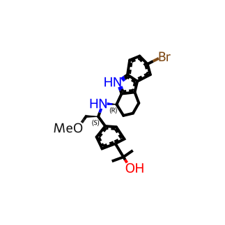 COC[C@@H](N[C@@H]1CCCc2c1[nH]c1ccc(Br)cc21)c1ccc(C(C)(C)O)cc1